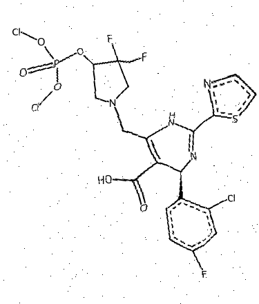 O=C(O)C1=C(CN2CC(OP(=O)(OCl)OCl)C(F)(F)C2)NC(c2nccs2)=N[C@H]1c1ccc(F)cc1Cl